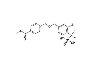 COC(=O)c1ccc(COCc2ccc(C(F)(F)P(=O)(O)O)c(Br)c2)cc1